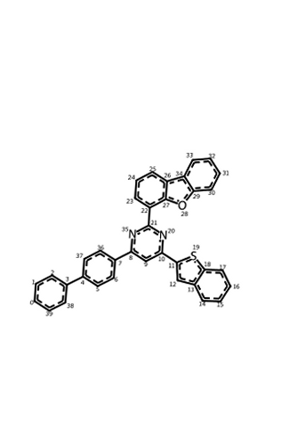 c1ccc(-c2ccc(-c3cc(-c4cc5ccccc5s4)nc(-c4cccc5c4oc4ccccc45)n3)cc2)cc1